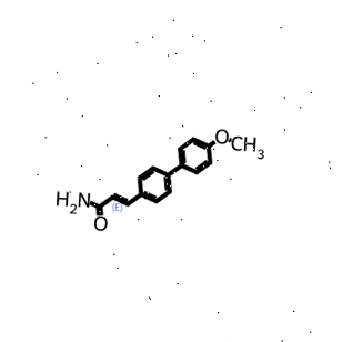 COc1ccc(-c2ccc(/C=C/C(N)=O)cc2)cc1